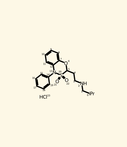 CC(C)CNCCC1Oc2ccccc2N(c2ccccc2)S1(=O)=O.Cl